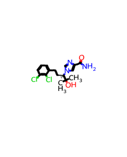 CC(C)(O)[C@@H](CCc1cccc(Cl)c1Cl)n1cnc(C(N)=O)c1